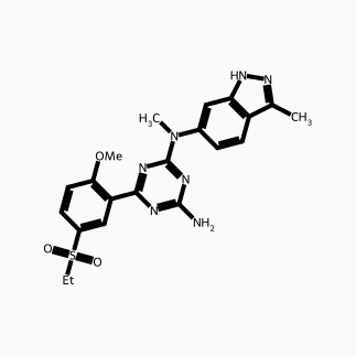 CCS(=O)(=O)c1ccc(OC)c(-c2nc(N)nc(N(C)c3ccc4c(C)n[nH]c4c3)n2)c1